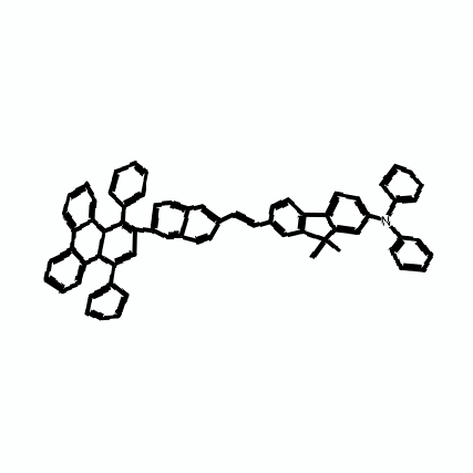 CC1(C)c2cc(/C=C/c3ccc4cc(C5=C(c6ccccc6)C6c7ccccc7-c7ccccc7C6C(c6ccccc6)=C5)ccc4c3)ccc2-c2ccc(N(C3=CCCC=C3)c3ccccc3)cc21